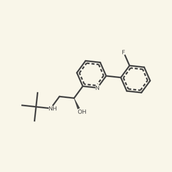 CC(C)(C)NC[C@H](O)c1cccc(-c2ccccc2F)n1